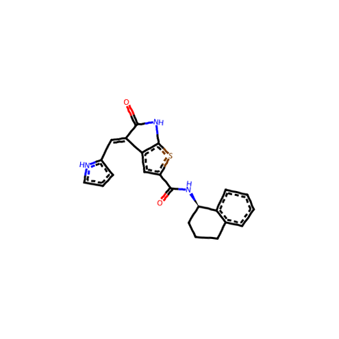 O=C1Nc2sc(C(=O)N[C@@H]3CCCc4ccccc43)cc2/C1=C\c1ccc[nH]1